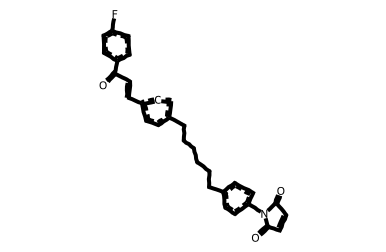 O=C(/C=C/c1ccc(CCCCCCc2ccc(N3C(=O)C=CC3=O)cc2)cc1)c1ccc(F)cc1